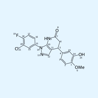 COc1ccc(C2CC(=O)Nc3c2cnn3-c2ccc(F)c(Cl)c2)cc1O